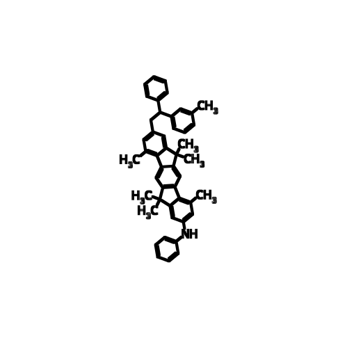 Cc1cccc(C(Cc2cc(C)c3c(c2)C(C)(C)c2cc4c(cc2-3)C(C)(C)c2cc(Nc3ccccc3)cc(C)c2-4)c2ccccc2)c1